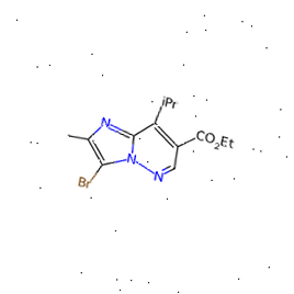 CCOC(=O)c1cnn2c(Br)c(C)nc2c1C(C)C